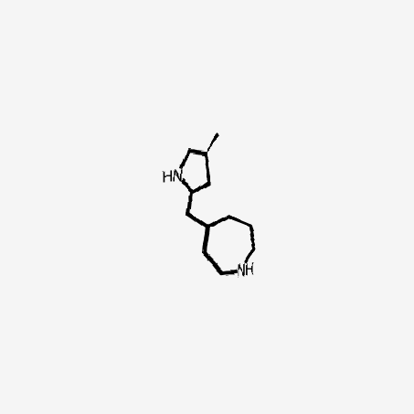 C[C@@H]1CNC(CC2CCCNCC2)C1